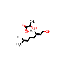 CC(C)=CCC/C(C)=C/CO.CC(O)C(=O)O